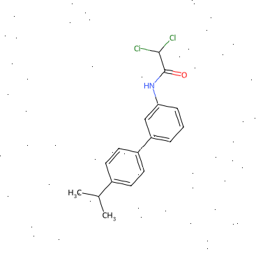 CC(C)c1ccc(-c2cccc(NC(=O)C(Cl)Cl)c2)cc1